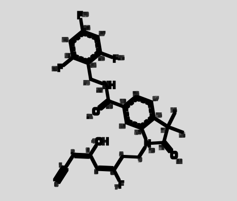 C#C/C=C(O)\C=C(\F)CCN1C(=O)C(C)(C)c2ccc(C(=O)NCc3c(F)cc(F)cc3F)cc21